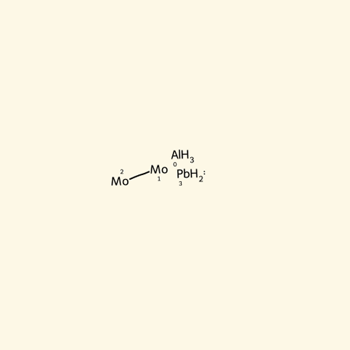 [AlH3].[Mo][Mo].[PbH2]